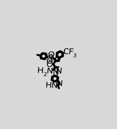 Cc1ccc(S(=O)(=O)n2c(C(=O)c3cnn(-c4ccc5[nH]c(C)nc5c4)c3N)cc3cc(C(F)(F)F)ccc32)cc1